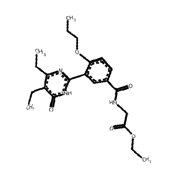 CCCOc1ccc(C(=O)NCC(=O)OCC)cc1-c1nc(CC)c(CC)c(=O)[nH]1